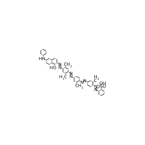 Cc1cc(N=Nc2cc(C)c(N=Nc3ccc4cc(Nc5ccccc5)ccc4c3O)cc2C)ccc1N=Nc1ccc(N=Nc2ccccc2S(=O)(=O)O)c(C)c1